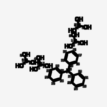 OB(O)O.OB(O)O.OB(O)O.OB(O)O.c1ccc(N(c2ccccc2)c2ccccc2)cc1